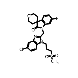 CS(=O)(=O)CCCn1c(CN2C(=O)C3(CCOCC3)c3ccc(F)cc32)nc2cc(Cl)ccc21